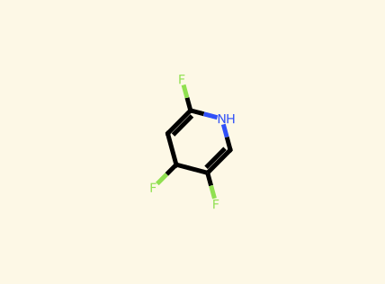 F[C]1C=C(F)NC=C1F